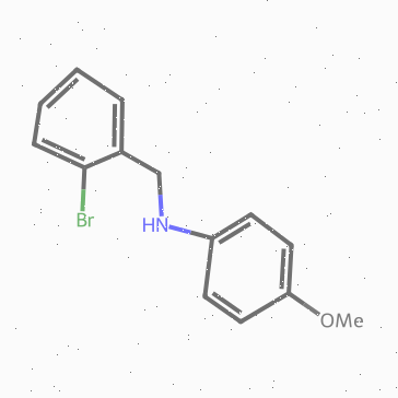 COc1ccc(NCc2ccccc2Br)cc1